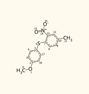 COc1ccc(Sc2ccc(C)cc2[N+](=O)[O-])cc1